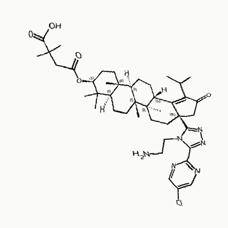 CC(C)C1=C2[C@H]3CC[C@@H]4[C@@]5(C)CC[C@H](OC(=O)CC(C)(C)C(=O)O)C(C)(C)[C@@H]5CC[C@@]4(C)[C@]3(C)CC[C@@]2(c2nnc(-c3ncc(Cl)cn3)n2CCN)CC1=O